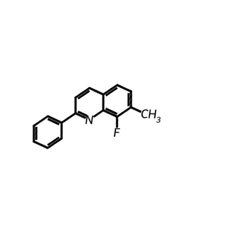 Cc1ccc2ccc(-c3ccccc3)nc2c1F